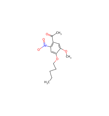 CCCCCOc1cc([N+](=O)[O-])c(C(C)=O)cc1OC